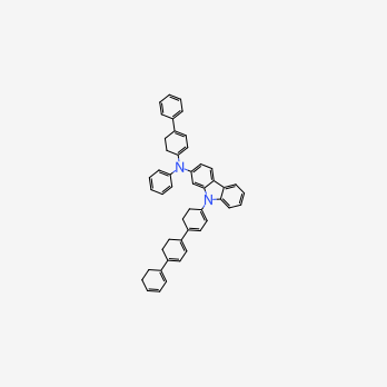 C1=CCCC(C2=CC=C(C3=CC=C(n4c5ccccc5c5ccc(N(C6=CC=C(c7ccccc7)CC6)c6ccccc6)cc54)CC3)CC2)=C1